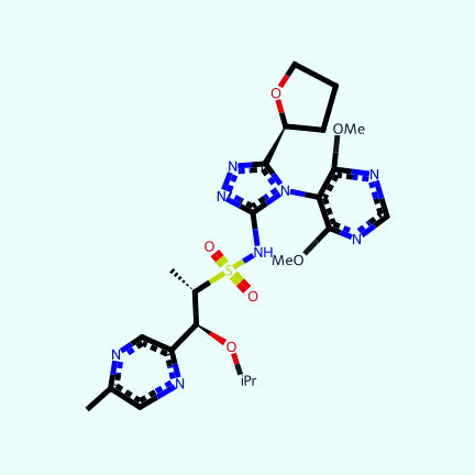 COc1ncnc(OC)c1-n1c(NS(=O)(=O)[C@@H](C)[C@@H](OC(C)C)c2cnc(C)cn2)nnc1[C@@H]1CCCO1